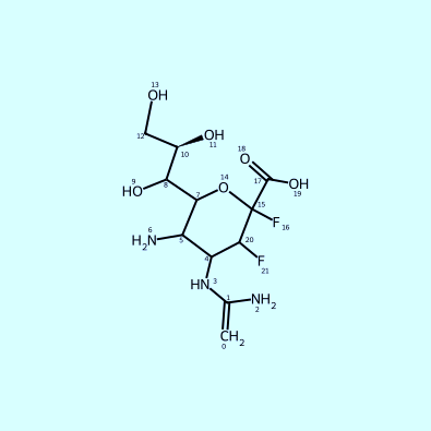 C=C(N)NC1C(N)C(C(O)[C@H](O)CO)OC(F)(C(=O)O)C1F